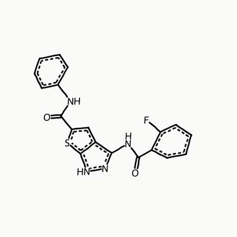 O=C(Nc1ccccc1)c1cc2c(NC(=O)c3ccccc3F)n[nH]c2s1